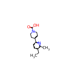 CCc1ccc(C2=CCN(C(=O)O)CC2)nc1C